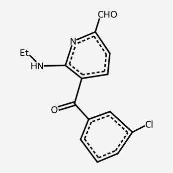 CCNc1nc(C=O)ccc1C(=O)c1cccc(Cl)c1